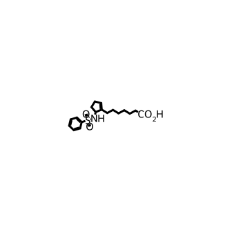 O=C(O)CCCCCCC1=CCCC1NS(=O)(=O)c1ccccc1